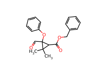 CC1(C)C(C(=O)OCc2ccccc2)C1(C=O)Oc1ccccc1